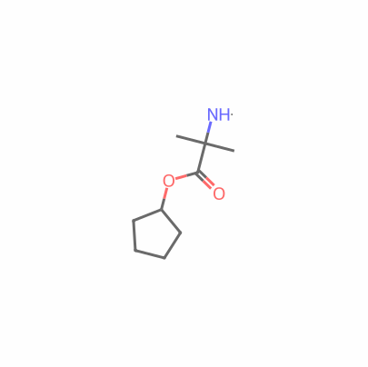 CC(C)([NH])C(=O)OC1CCCC1